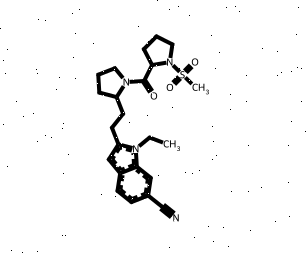 CCn1c(CCC2CCCN2C(=O)C2CCCN2S(C)(=O)=O)cc2ccc(C#N)cc21